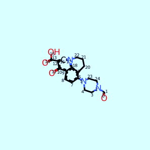 O=CN1CCN(c2ccc3c(=O)c(C(=O)O)cn4c3c2CCC4)CC1